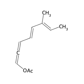 CC=C(C)C=CC=C=COC(C)=O